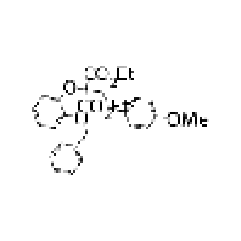 CCOC(=O)C(CCc1ccc(OC)cc1)(Oc1ccccc1OCc1ccccc1)C(=O)OCC